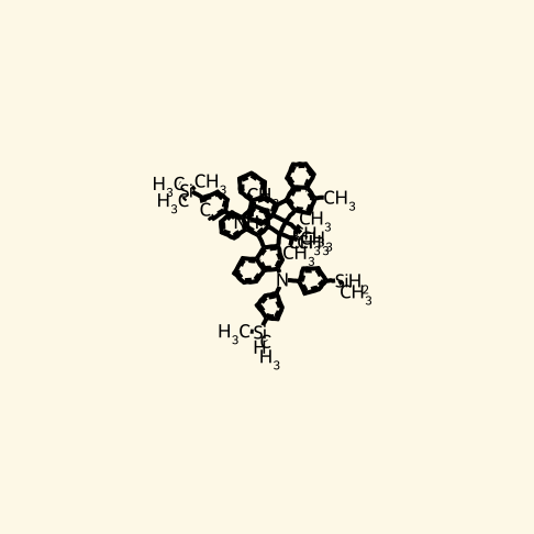 C[SiH2]c1ccc(N(c2ccc([SiH](C)C)cc2)c2cc3c(c4ccccc24)-c2c(cc(C)c4ccccc24)C3(C(C)(C)C)C2(C(C)(C)C)c3cc(C)c4ccccc4c3-c3c2cc(Nc2ccc([Si](C)(C)C)cc2)c2ccccc32)cc1